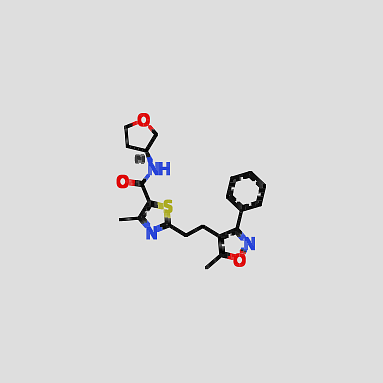 Cc1nc(CCc2c(-c3ccccc3)noc2C)sc1C(=O)N[C@H]1CCOC1